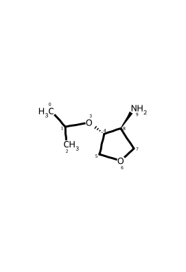 CC(C)O[C@H]1COC[C@@H]1N